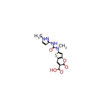 CN(C(=O)Nc1ccn(C)n1)c1cc2oc(=O)c(C(=O)O)cc2s1